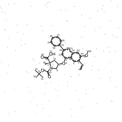 C=Cc1cc2c(O[C@H]3CN(C(=O)OC(C)(C)C)[C@](C)(C(=O)O)C3)cc(-c3ccccc3)nc2cc1OC